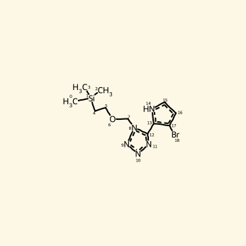 C[Si](C)(C)CCOCn1nnnc1-c1[nH]ccc1Br